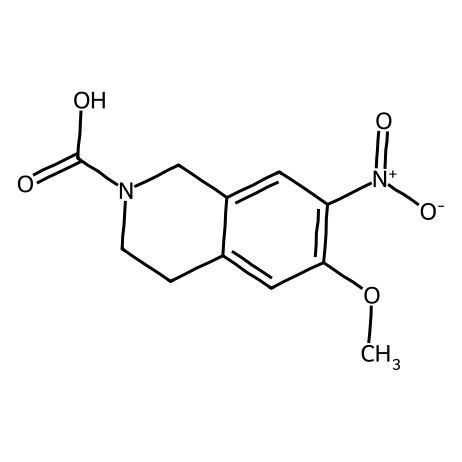 COc1cc2c(cc1[N+](=O)[O-])CN(C(=O)O)CC2